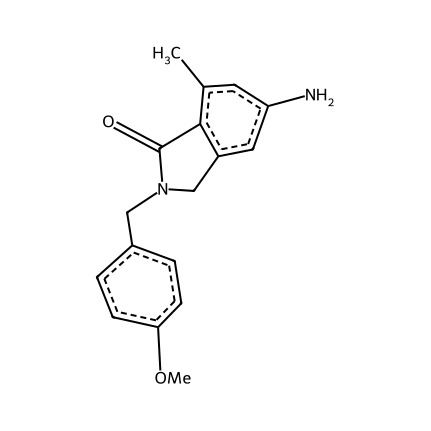 COc1ccc(CN2Cc3cc(N)cc(C)c3C2=O)cc1